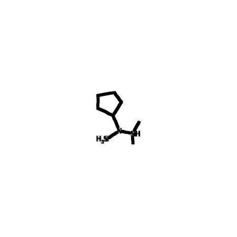 C[SiH](C)N([SiH3])C1CCCC1